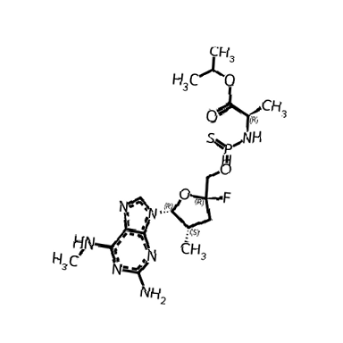 CNc1nc(N)nc2c1ncn2[C@@H]1O[C@](F)(CO[PH](=S)N[C@H](C)C(=O)OC(C)C)C[C@@H]1C